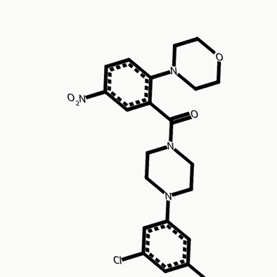 O=C(c1cc([N+](=O)[O-])ccc1N1CCOCC1)N1CCN(c2cc(Cl)cc(Cl)c2)CC1